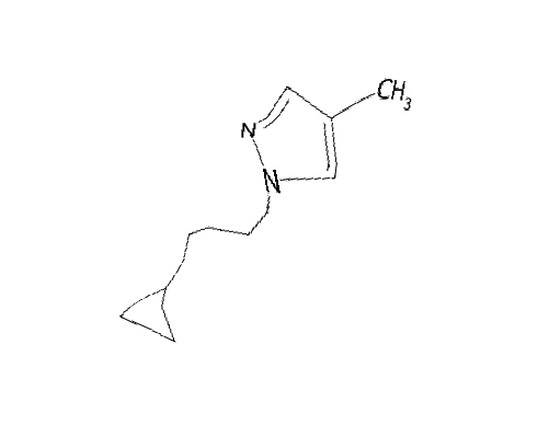 Cc1cnn(CCC2CC2)c1